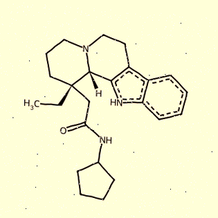 CC[C@@]1(CC(=O)NC2CCCC2)CCCN2CCc3c([nH]c4ccccc34)[C@@H]21